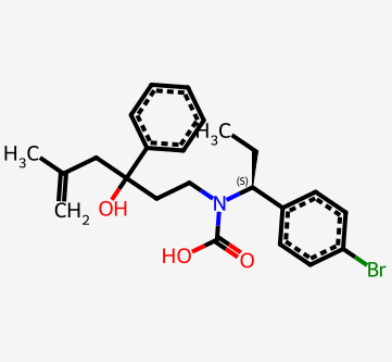 C=C(C)CC(O)(CCN(C(=O)O)[C@@H](CC)c1ccc(Br)cc1)c1ccccc1